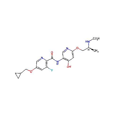 C[C@@H](COc1cc(O)c(NC(=O)c2ncc(OCC3CC3)cc2F)cn1)NC(=O)O